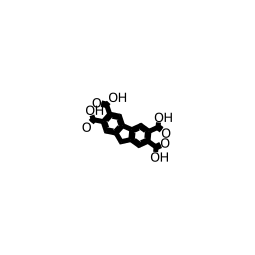 O=C(O)c1cc2c(cc1C(=O)O)-c1cc(C(=O)O)c(C(=O)O)cc1C2